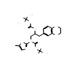 CC(C)(C)OC(=O)NC(Cc1ccc2c(c1)OCCO2)CN(C(=O)OC(C)(C)C)c1ncc(Br)s1